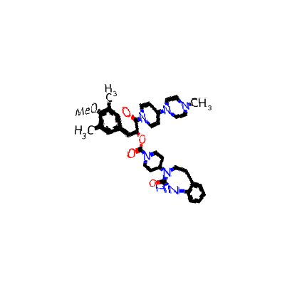 COc1c(C)cc(CC(OC(=O)N2CCC(N3CCc4ccccc4NC3=O)CC2)C(=O)N2CCC(N3CCN(C)CC3)CC2)cc1C